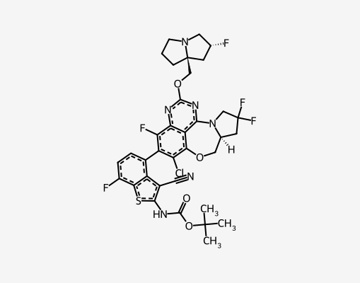 CC(C)(C)OC(=O)Nc1sc2c(F)ccc(-c3c(Cl)c4c5c(nc(OC[C@@]67CCCN6C[C@H](F)C7)nc5c3F)N3CC(F)(F)C[C@H]3CO4)c2c1C#N